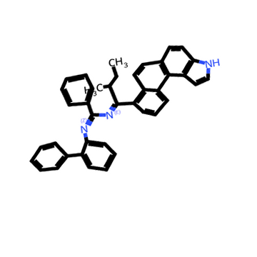 CCC(C)/C(=N\C(=N/c1ccccc1-c1ccccc1)c1ccccc1)c1cccc2c1ccc1ccc3[nH]ccc3c12